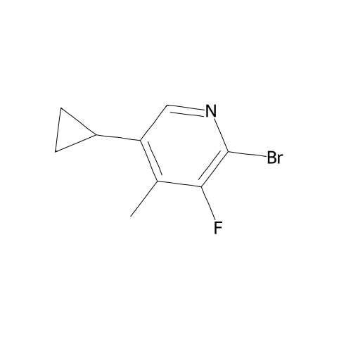 Cc1c(C2CC2)cnc(Br)c1F